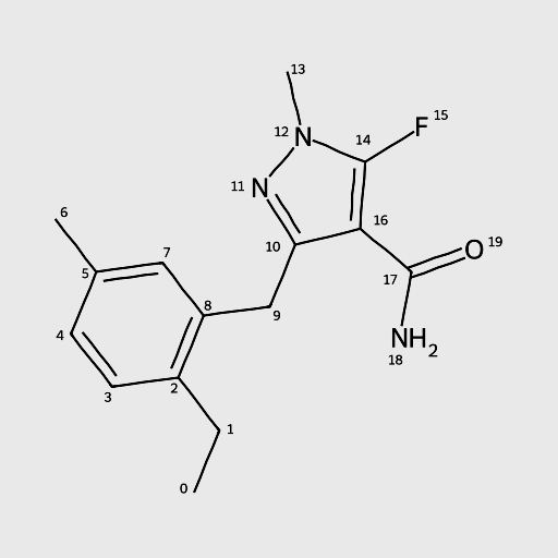 CCc1ccc(C)cc1Cc1nn(C)c(F)c1C(N)=O